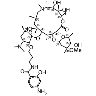 CO[C@]1(C)C[C@H](O[C@H]2[C@H](C)[C@@H](O[C@@H]3O[C@H](C)C[C@H](N(C)C)[C@H]3OCCCNC(=O)c3ccc(N)cc3O)[C@](C)(O)C[C@@H](C)CN(C)[C@H](C)[C@@H](O)[C@](C)(O)[C@@H](I)OC(=O)[C@@H]2C)O[C@@H](C)[C@@H]1O